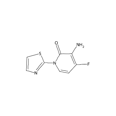 Nc1c(F)ccn(-c2nccs2)c1=O